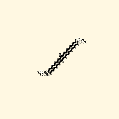 CCCCCCCCCCCCCCCCCCCCCCCCCCCCCC(=O)[O-].CCCCCCCCCCCCCCCCCCCCCCCCCCCCCC(=O)[O-].[Ba+2]